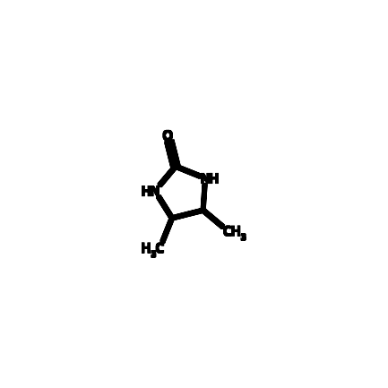 CC1NC(=O)NC1C